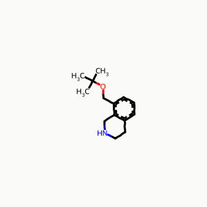 CC(C)(C)OCc1cccc2c1CNCC2